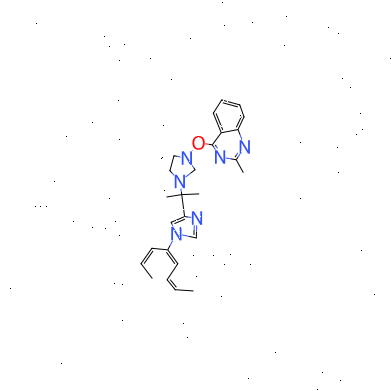 C\C=C/C=C(\C=C/C)n1cnc(C(C)(C)N2CCN(Oc3nc(C)nc4ccccc34)C2)c1